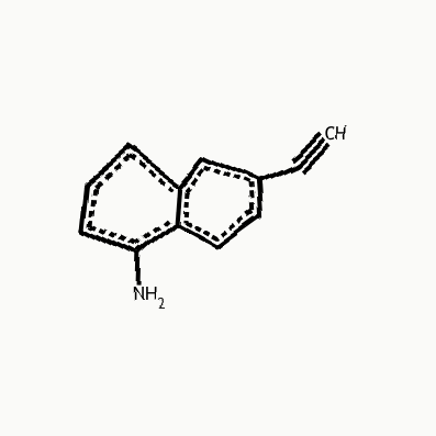 C#Cc1ccc2c(N)cccc2c1